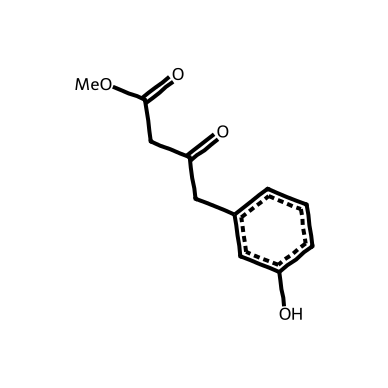 COC(=O)CC(=O)Cc1cccc(O)c1